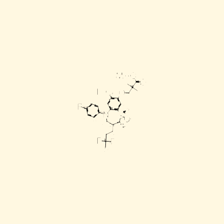 COC(=O)C(C)(C)COc1cc2c(cc1C(F)(F)F)N(c1ccc(F)cc1)C[C@H](CCC(C)(F)F)[C@H](F)S2(=O)=O